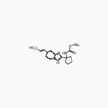 CC(C)(C)OC(=O)NC1(c2nc3cc(/C=C/C(=O)O)ccc3[nH]2)CCCC1